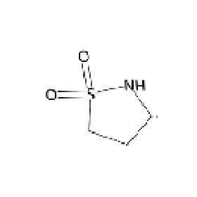 O=S1(=O)CC[CH]N1